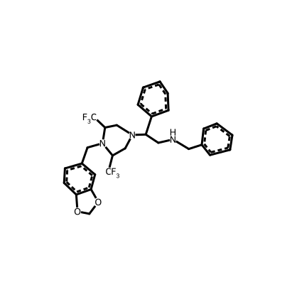 FC(F)(F)C1CN(C(CNCc2ccccc2)c2ccccc2)CC(C(F)(F)F)N1Cc1ccc2c(c1)OCO2